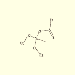 CCO[Si](C)(OCC)OC(=S)CC